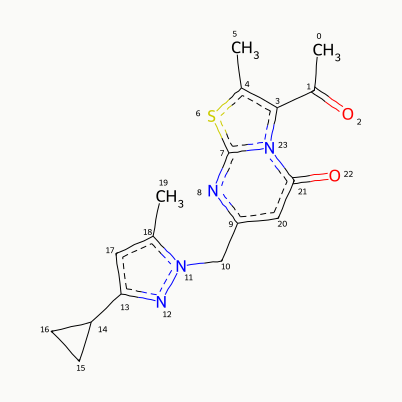 CC(=O)c1c(C)sc2nc(Cn3nc(C4CC4)cc3C)cc(=O)n12